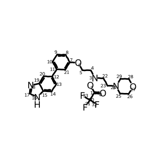 O=C(ON(CCOc1cccc(-c2ccc3[nH]cnc3c2)c1)CCN1CCOCC1)C(F)(F)F